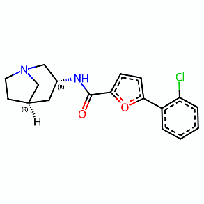 O=C(N[C@@H]1C[C@H]2CCN(C2)C1)c1ccc(-c2ccccc2Cl)o1